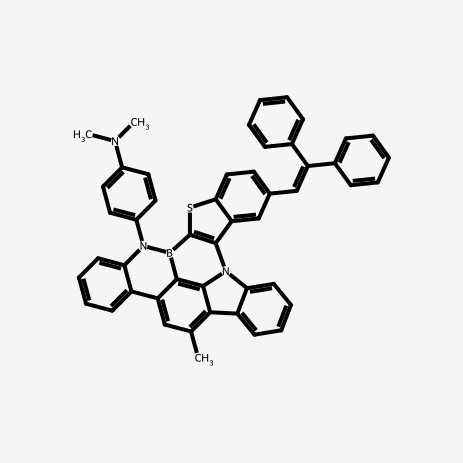 Cc1cc2c3c4c1c1ccccc1n4-c1c(sc4ccc(C=C(c5ccccc5)c5ccccc5)cc14)B3N(c1ccc(N(C)C)cc1)c1ccccc1-2